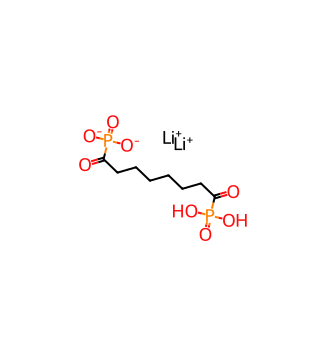 O=C(CCCCCCC(=O)P(=O)(O)O)P(=O)([O-])[O-].[Li+].[Li+]